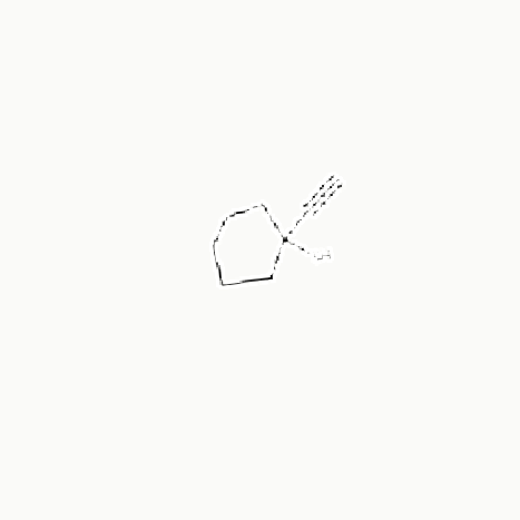 C#CC1(S)CCCCC1